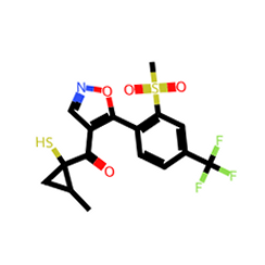 CC1CC1(S)C(=O)c1cnoc1-c1ccc(C(F)(F)F)cc1S(C)(=O)=O